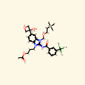 CC(=O)OCCCn1/c(=N/C(=O)c2cccc(C(F)(F)F)c2)n(COCC[Si](C)(C)C)c2cc(C3(O)COC3)ccc21